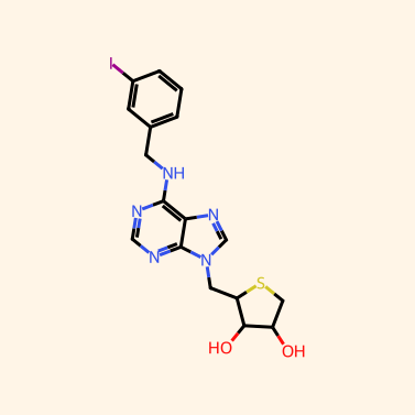 OC1CSC(Cn2cnc3c(NCc4cccc(I)c4)ncnc32)C1O